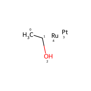 CCO.[Pt].[Ru]